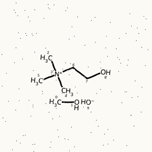 CO.C[N+](C)(C)CCO.[OH-]